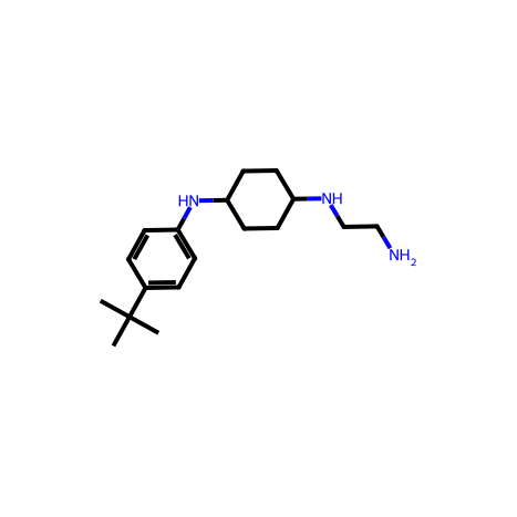 CC(C)(C)c1ccc(NC2CCC(NCCN)CC2)cc1